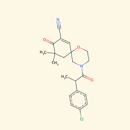 CC(C(=O)N1CCOC2(C=C(C#N)C(=O)C(C)(C)C2)C1)c1ccc(Cl)cc1